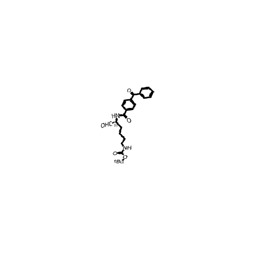 CC(C)(C)OC(=O)NCCCC[C@@H](C=O)NC(=O)c1ccc(C(=O)c2ccccc2)cc1